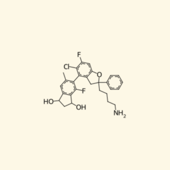 Cc1cc2c(c(F)c1-c1c(Cl)c(F)cc3c1CC(CCCCN)(c1ccccc1)O3)C(O)CC2O